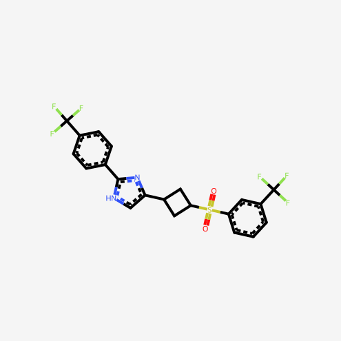 O=S(=O)(c1cccc(C(F)(F)F)c1)C1CC(c2c[nH]c(-c3ccc(C(F)(F)F)cc3)n2)C1